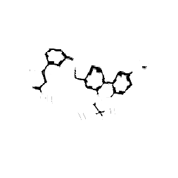 COc1ccc(F)c(-c2ccc(COc3cccc([C@@H](C)CC(=O)O)c3)cc2OCC(C)(C)C)c1